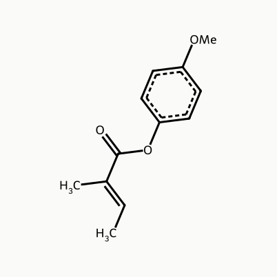 CC=C(C)C(=O)Oc1ccc(OC)cc1